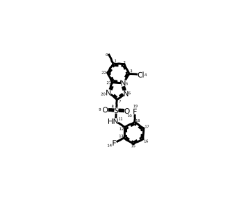 Cc1cc(Cl)n2nc(S(=O)(=O)Nc3c(F)cccc3F)nc2c1